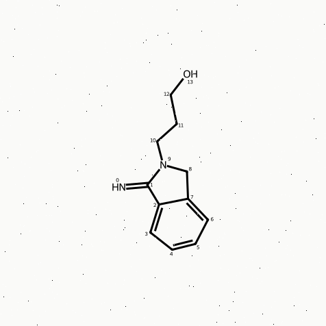 N=C1c2ccccc2CN1CCCO